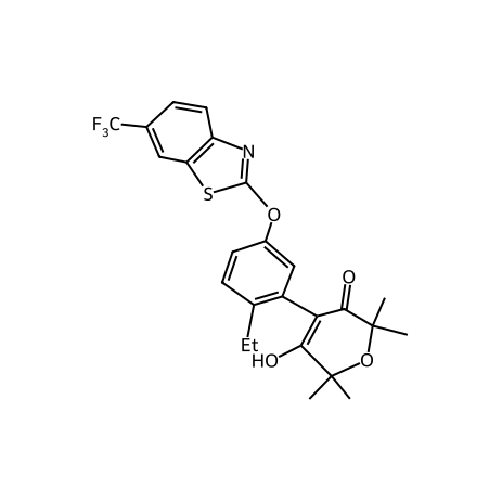 CCc1ccc(Oc2nc3ccc(C(F)(F)F)cc3s2)cc1C1=C(O)C(C)(C)OC(C)(C)C1=O